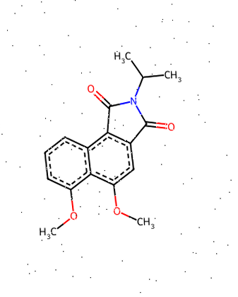 COc1cccc2c3c(cc(OC)c12)C(=O)N(C(C)C)C3=O